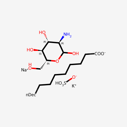 CCCCCCCCCCCCCCCCCC(=O)[O-].N[C@H]1C(O)O[C@H](CO)[C@@H](O)[C@@H]1O.O=S(=O)([O-])O.[K+].[Na+]